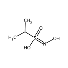 CC(C)S(=O)(O)=NO